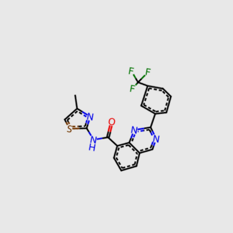 Cc1csc(NC(=O)c2cccc3cnc(-c4cccc(C(F)(F)F)c4)nc23)n1